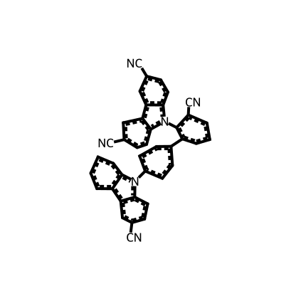 N#Cc1ccc2c(c1)c1ccccc1n2-c1ccc(-c2cccc(C#N)c2-n2c3ccc(C#N)cc3c3cc(C#N)ccc32)cc1